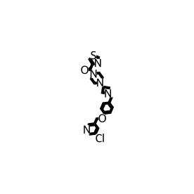 O=C(c1cscn1)N1CCN(C2CN(Cc3ccc(OCc4cncc(Cl)c4)cc3)C2)CC1